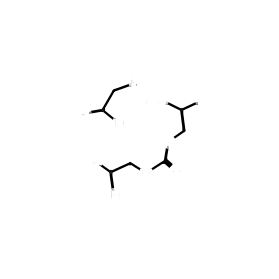 CCCCC(CC)CN.CCCCC(CC)COC(=O)OCC(CC)CCCC